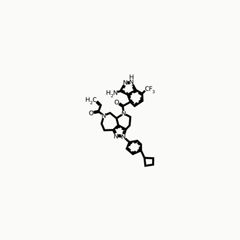 C=CC(=O)N1CCc2nn(-c3ccc(C4CCC4)cc3)c3c2C(C1)N(C(=O)c1ccc(C(F)(F)F)c2[nH]nc(N)c12)CC3